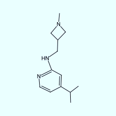 CC(C)c1ccnc(NCC2CN(C)C2)c1